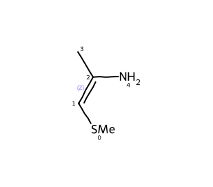 CS/C=C(/C)N